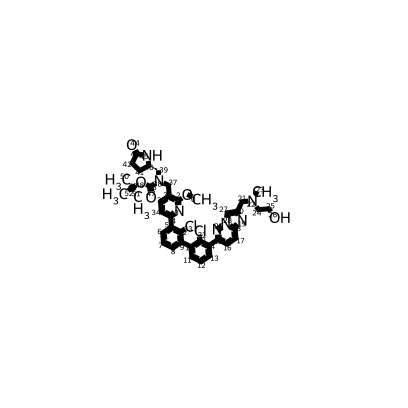 COc1nc(-c2cccc(-c3cccc(-c4ccc5nc(CN(C)CCO)cn5n4)c3Cl)c2Cl)ccc1CN(C[C@@H]1CCC(=O)N1)C(=O)OC(C)(C)C